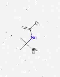 C=C(CC)NC(C)(C)[C@@H](C)CC